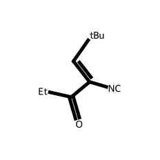 [C-]#[N+]/C(=C\C(C)(C)C)C(=O)CC